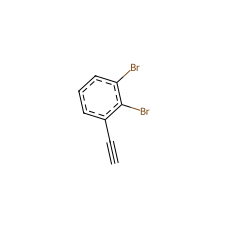 C#Cc1cccc(Br)c1Br